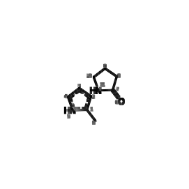 Cc1ccc[nH]1.O=C1CCCN1